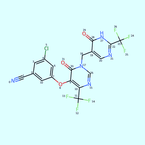 N#Cc1cc(Cl)cc(Oc2c(C(F)(F)F)ncn(Cc3cnc(C(F)(F)F)[nH]c3=O)c2=O)c1